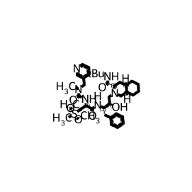 CN(Cc1cccnc1)C(=O)N[C@H](C(=O)N[C@@H](Cc1ccccc1)[C@H](O)CN1C[C@H]2CCCC[C@H]2C[C@H]1C(=O)NC(C)(C)C)C(C)(C)S(C)(=O)=O